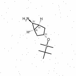 CC(C)(C)[Si](C)(C)O[C@H]1C[C@@H]2[C@H](N)[C@@H]2C1